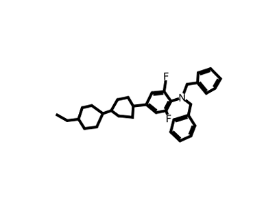 CCC1CCC(C2CCC(c3cc(F)c(N(Cc4ccccc4)Cc4ccccc4)c(F)c3)CC2)CC1